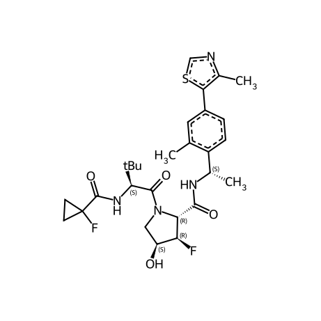 Cc1cc(-c2scnc2C)ccc1[C@H](C)NC(=O)[C@@H]1[C@@H](F)[C@@H](O)CN1C(=O)[C@@H](NC(=O)C1(F)CC1)C(C)(C)C